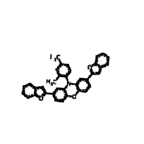 Cc1ccc(N2c3cc(-c4cc5ccccc5o4)ccc3Oc3ccc(-c4cc5ccccc5o4)cc32)c(C)c1